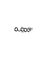 c1ccc(Cc2cnc3cc4[nH]ncc4cc3n2)cc1